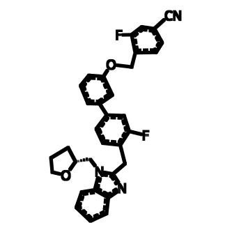 N#Cc1ccc(COc2cccc(-c3ccc(Cc4nc5ccccc5n4C[C@H]4CCCO4)c(F)c3)c2)c(F)c1